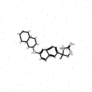 CC1(c2ccc3cc(O[C@@H]4CCC5CCCCC5C4)ccc3c2)COC(=O)N1